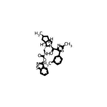 Cc1cccc(-c2sc(C)nc2C(=O)N2C[C@@H]3CC(C)C[C@@H]3[C@H]2CNC(=O)Oc2nsc3ccccc23)c1